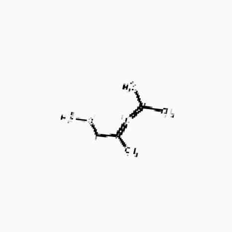 CC(C)=C=C(C)CO[SiH3]